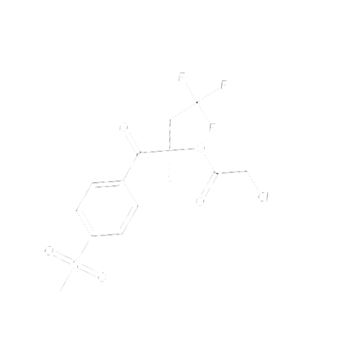 C[C@](CC(F)(F)F)(OC(=O)CCl)C(=O)c1ccc(S(C)(=O)=O)cc1